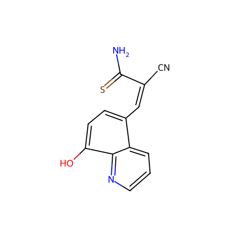 N#CC(=Cc1ccc(O)c2ncccc12)C(N)=S